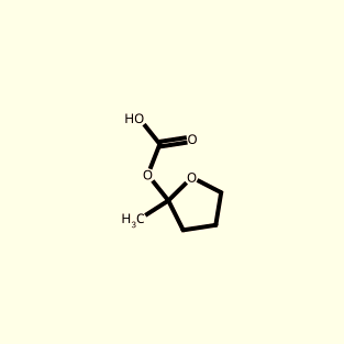 CC1(OC(=O)O)CCCO1